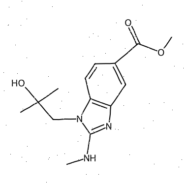 CNc1nc2cc(C(=O)OC)ccc2n1CC(C)(C)O